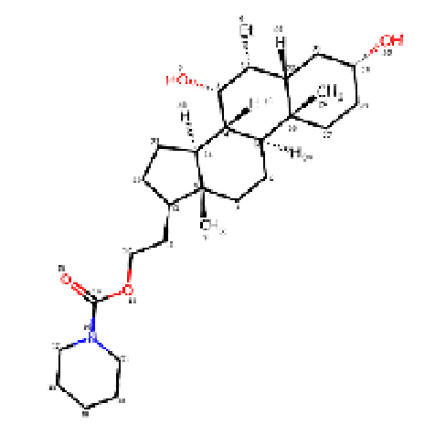 CC[C@H]1[C@@H](O)[C@@H]2[C@H](CC[C@]3(C)[C@@H](CCOC(=O)N4CCCCC4)CC[C@@H]23)[C@@]2(C)CC[C@@H](O)C[C@@H]12